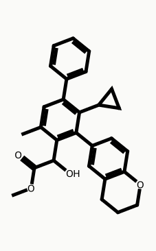 COC(=O)C(O)c1c(C)cc(-c2ccccc2)c(C2CC2)c1-c1ccc2c(c1)CCCO2